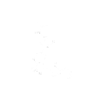 CC(C)Nc1cncc(-c2cnc3[nH]nc(-c4cc5ccccc5[nH]4)c3c2)c1